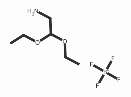 CCOC(CN)OCC.F[B-](F)(F)F